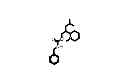 CC(C)CC(COC(=O)NCc1ccccc1)C1CCCCN1C